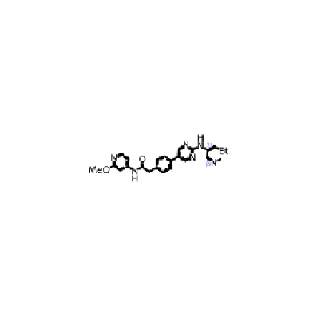 CC/C=C(\C=N/C)Nc1ncc(-c2ccc(CC(=O)Nc3ccnc(OC)c3)cc2)cn1